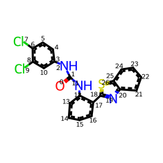 O=C(Nc1ccc(Cl)c(Cl)c1)Nc1ccccc1-c1nc2ccccc2s1